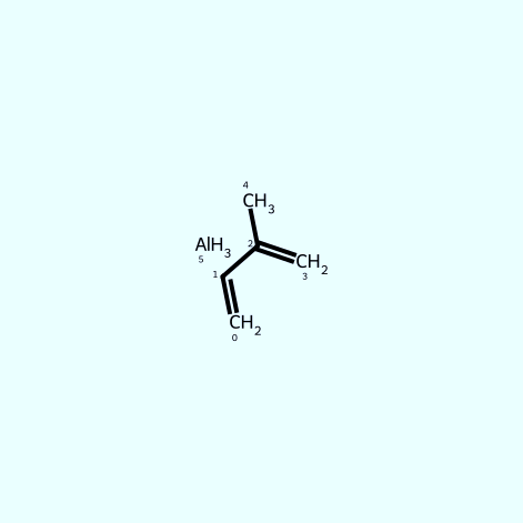 C=CC(=C)C.[AlH3]